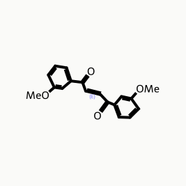 COc1cccc(C(=O)/C=C/C(=O)c2cccc(OC)c2)c1